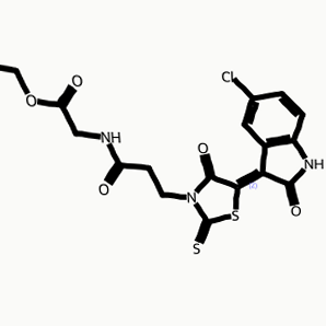 CCOC(=O)CNC(=O)CCN1C(=O)/C(=C2/C(=O)Nc3ccc(Cl)cc32)SC1=S